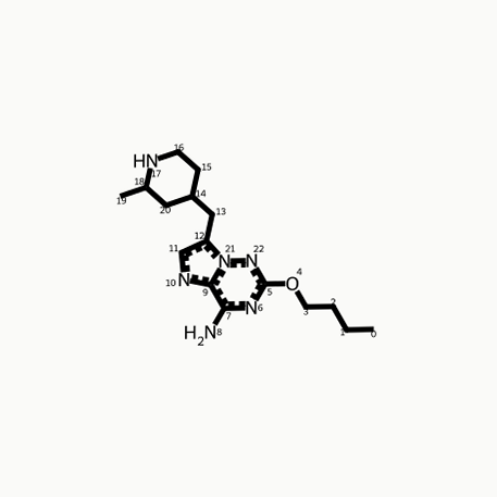 CCCCOc1nc(N)c2ncc(CC3CCNC(C)C3)n2n1